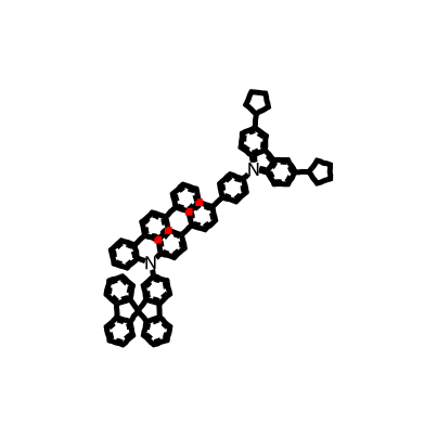 c1ccc(-c2ccc(-c3ccccc3N(c3ccc(-c4ccc(-c5ccc(-n6c7ccc(C8CCCC8)cc7c7cc(C8CCCC8)ccc76)cc5)cc4)cc3)c3ccc4c(c3)C3(c5ccccc5-c5ccccc53)c3ccccc3-4)cc2)cc1